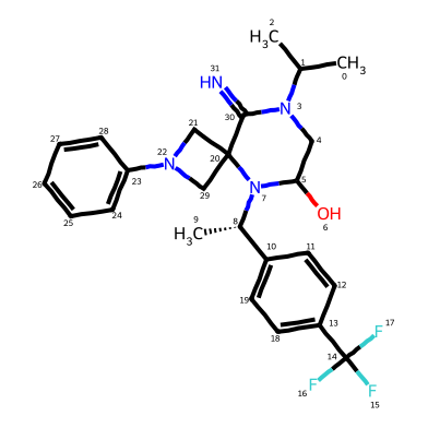 CC(C)N1CC(O)N([C@@H](C)c2ccc(C(F)(F)F)cc2)C2(CN(c3ccccc3)C2)C1=N